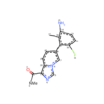 CNC(=O)c1ncn2cc(-c3c(F)ccc(N)c3C)ccc12